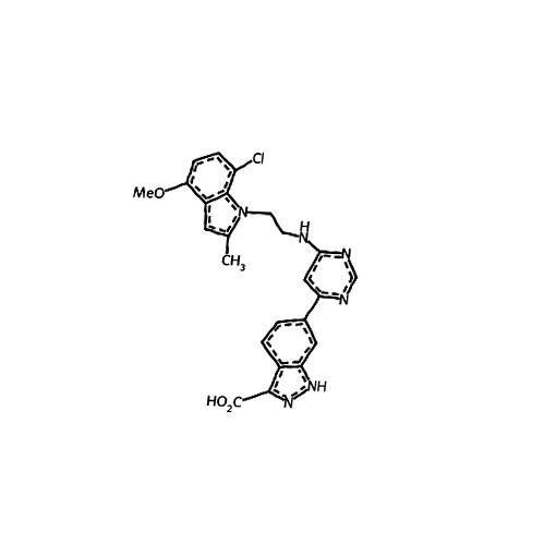 COc1ccc(Cl)c2c1cc(C)n2CCNc1cc(-c2ccc3c(C(=O)O)n[nH]c3c2)ncn1